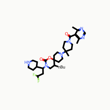 CCCCC1CN(C(CC(F)F)C2CCNCC2)C(=O)OC12CCN(C1(C)CCN(C(=O)c3c(C)ncnc3C)CC1)CC2